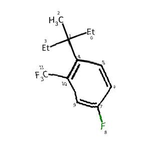 CCC(C)(CC)c1ccc(F)cc1C(F)(F)F